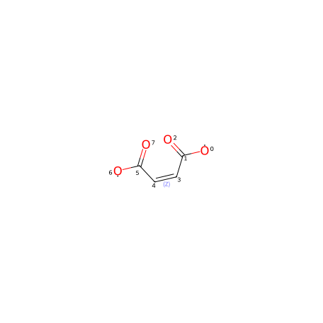 [O]C(=O)/C=C\C([O])=O